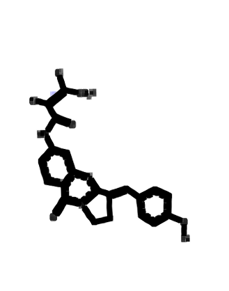 CCOc1ccc(C=C2CCn3c2nc2cc(NC(=O)/C(Cl)=C(/Cl)C(=O)O)ccc2c3=O)cc1